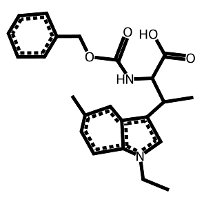 CCn1cc(C(C)C(NC(=O)OCc2ccccc2)C(=O)O)c2cc(C)ccc21